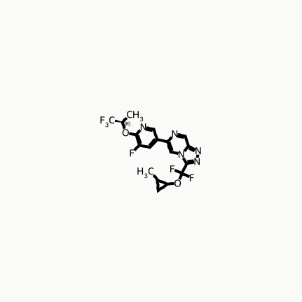 CC1CC1OC(F)(F)c1nnc2cnc(-c3cnc(O[C@H](C)C(F)(F)F)c(F)c3)cn12